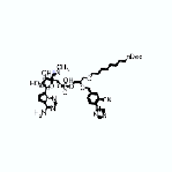 CCCCCCCCCCCCCCCCCCOC[C@H](COP(=O)(O)OC[C@@]1(/C=N/C)O[C@@H](c2ccc3c(N)ncnn23)[C@H](O)[C@@H]1O)OCc1ccc(-n2cncn2)c(C#N)c1